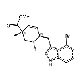 COC(=O)[C@]1(C)C=C[C@@H](Cc2c[nH]c3cccc(Br)c23)N(C)C1